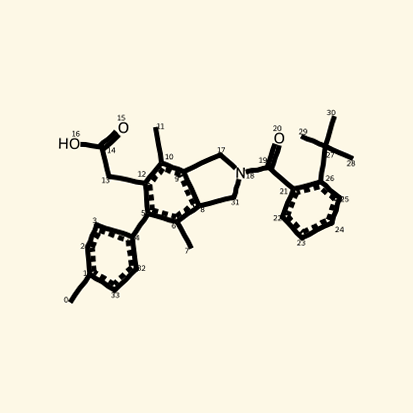 Cc1ccc(-c2c(C)c3c(c(C)c2CC(=O)O)CN(C(=O)c2ccccc2C(C)(C)C)C3)cc1